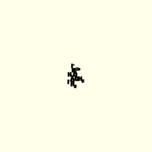 O.O.O.[I-].[I-].[Ni+2]